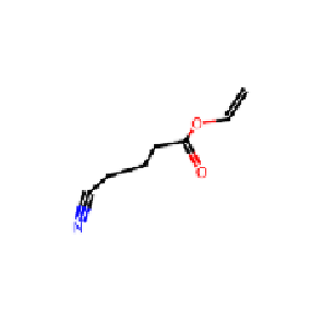 C=COC(=O)CCCC#N